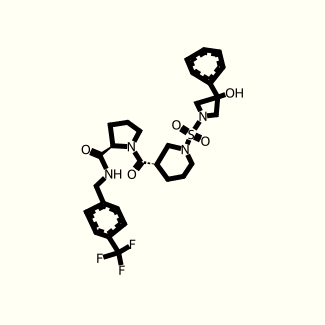 O=C(NCc1ccc(C(F)(F)F)cc1)[C@H]1CCCN1C(=O)[C@H]1CCCN(S(=O)(=O)N2CC(O)(c3ccccc3)C2)C1